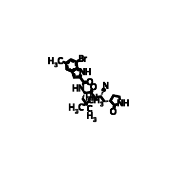 Cc1cc(Br)c2[nH]c(C(=O)N[C@@H](CC(C)(C)C)C(=O)N[C@H](C#N)C[C@@H]3CCNC3=O)cc2c1